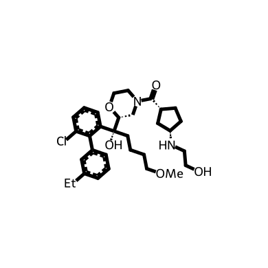 CCc1cccc(-c2c(Cl)cccc2[C@](O)(CCCCOC)[C@H]2CN(C(=O)[C@@H]3CC[C@H](NCCO)C3)CCO2)c1